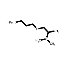 CCCCCCCCOCC(C)N(C)C